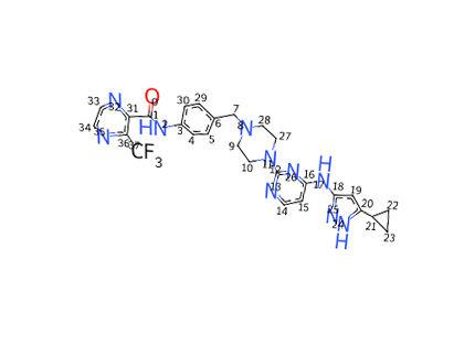 O=C(Nc1ccc(CN2CCN(c3nccc(Nc4cc(C5CC5)[nH]n4)n3)CC2)cc1)c1nccnc1C(F)(F)F